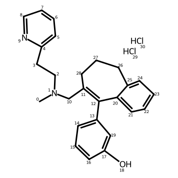 CN(CCc1ccccn1)CC1=C(c2cccc(O)c2)c2ccccc2CCC1.Cl.Cl